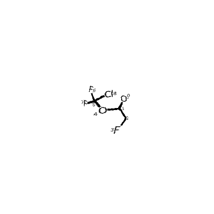 [O]C(CF)OC(F)(F)Cl